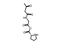 CC(=O)CC(=S)NCC(=O)OC(=O)[C@@H]1CCCN1